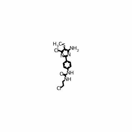 CSc1c(N)nc(-c2ccc(NC(=O)NCCCl)cc2)nc1Cl